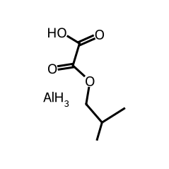 CC(C)COC(=O)C(=O)O.[AlH3]